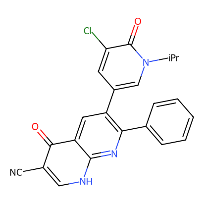 CC(C)n1cc(-c2cc3c(=O)c(C#N)c[nH]c3nc2-c2ccccc2)cc(Cl)c1=O